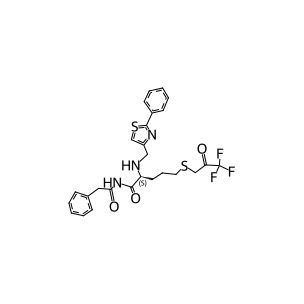 O=C(Cc1ccccc1)NC(=O)[C@H](CCCSCC(=O)C(F)(F)F)NCc1csc(-c2ccccc2)n1